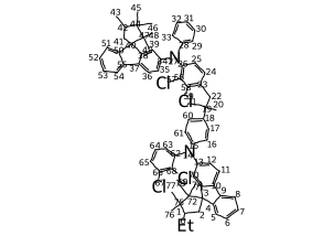 CCC1CC2(c3ccccc3-c3ccc(N(c4ccc(C(C)(C)Cc5ccc(N(c6ccccc6)c6ccc7c(c6)C6(CC(C)C(C)(C)C6(C)C)c6ccccc6-7)c(Cl)c5Cl)cc4)c4cccc(Cl)c4Cl)cc32)C(C)(C)C1(C)C